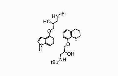 CC(C)(C)NCC(O)COc1cccc2c1SCCC2.CC(C)NCC(O)COc1cccc2[nH]ccc12